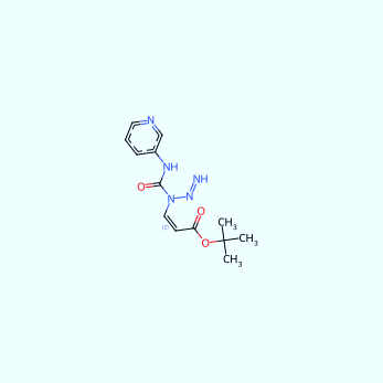 CC(C)(C)OC(=O)/C=C\N(N=N)C(=O)Nc1cccnc1